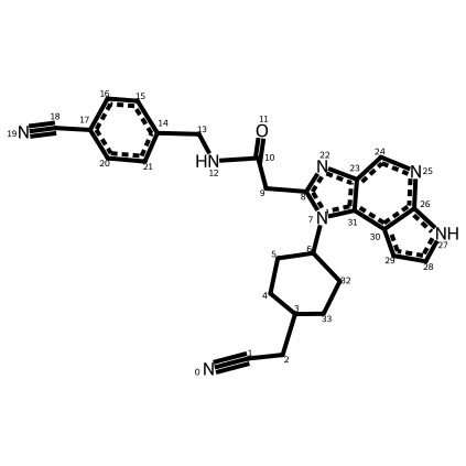 N#CCC1CCC(n2c(CC(=O)NCc3ccc(C#N)cc3)nc3cnc4[nH]ccc4c32)CC1